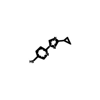 Sc1ccc(-n2cnc(C3CC3)n2)nc1